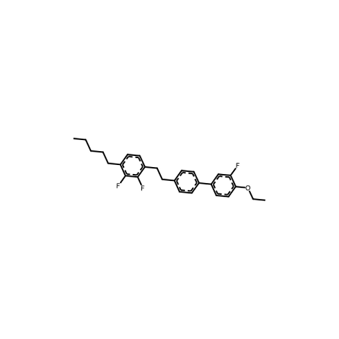 CCCCCc1ccc(CCc2ccc(-c3ccc(OCC)c(F)c3)cc2)c(F)c1F